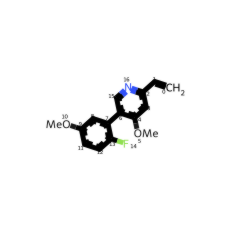 C=Cc1cc(OC)c(-c2cc(OC)ccc2F)cn1